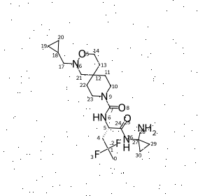 CC(F)(F)C[C@H](NC(=O)N1CCC2(CCON(CC3CC3)C2)CC1)C(=O)NC1(N)CC1